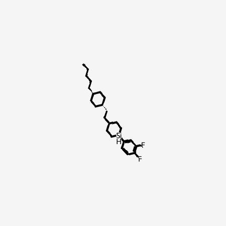 CCCCC[C@H]1CC[C@H](CCC2CC[SiH](c3ccc(F)c(F)c3)CC2)CC1